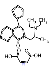 CCN(CC)C(C)Cn1cc(-c2ccccc2)c2ccccc2c1=O.O=C(O)/C=C\C(=O)O